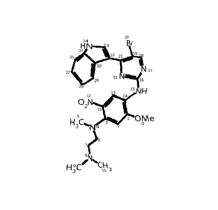 COc1cc(N(C)CCN(C)C)c([N+](=O)[O-])cc1Nc1ncc(Br)c(-c2c[nH]c3ccccc23)n1